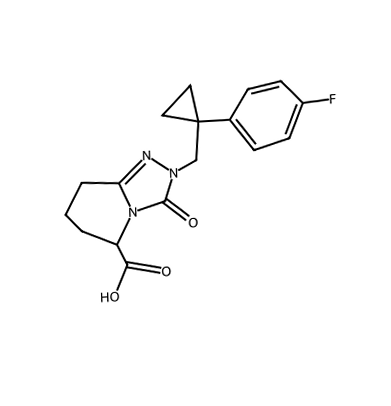 O=C(O)C1CCCc2nn(CC3(c4ccc(F)cc4)CC3)c(=O)n21